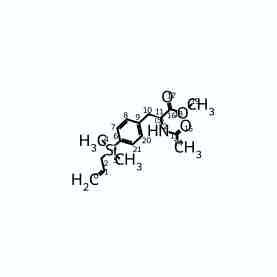 C=CC[Si](C)(C)c1ccc(C[C@H](NC(C)=O)C(=O)OC)cc1